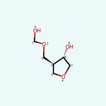 OCOC[C@@H]1COC[C@H]1O